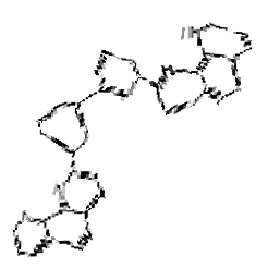 C1=Cc2ccc3ccc(-c4cccc(-c5cccc(-c6ccc7ccc8cccnc8c7n6)c5)c4)nc3c2NC1